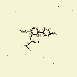 COc1ccc(-c2ccc(C(C)=O)cc2)[nH]/c1=N\C(=N)C1CC1